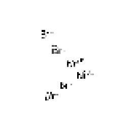 [Br-].[Br-].[Br-].[Br-].[Ni+2].[Ni+2]